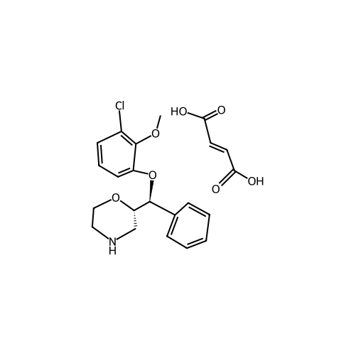 COc1c(Cl)cccc1O[C@@H](c1ccccc1)[C@@H]1CNCCO1.O=C(O)C=CC(=O)O